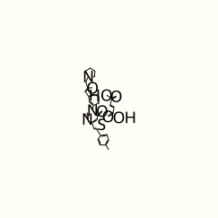 Cc1ccc(-c2cc3ncn(-c4ccc5oc(CN6CCCC6)cc5c4)c(=O)c3s2)cc1.O=C(O)C=CC(=O)O